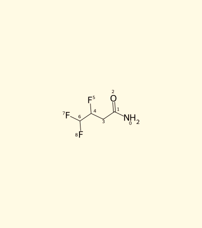 NC(=O)CC(F)C(F)F